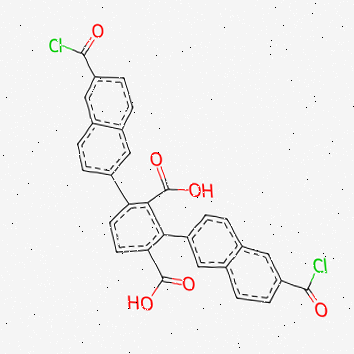 O=C(Cl)c1ccc2cc(-c3ccc(C(=O)O)c(-c4ccc5cc(C(=O)Cl)ccc5c4)c3C(=O)O)ccc2c1